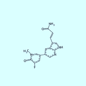 Cn1cc(-c2cnc3[nH]cc(C=CC(N)=O)c3c2)cc(F)c1=O